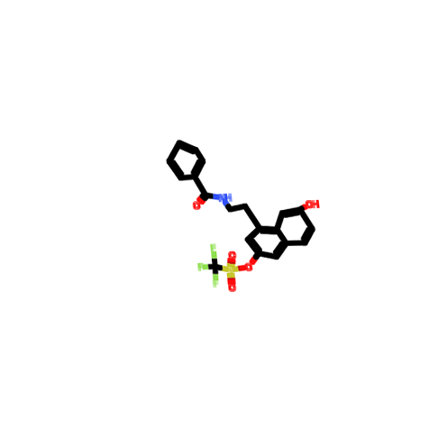 O=C(NCCc1cc(OS(=O)(=O)C(F)(F)F)cc2ccc(O)cc12)c1ccccc1